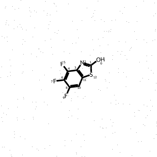 Oc1nc2c(F)c(F)c(F)cc2s1